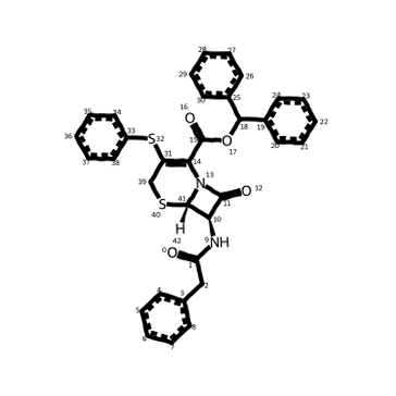 O=C(Cc1ccccc1)N[C@@H]1C(=O)N2C(C(=O)OC(c3ccccc3)c3ccccc3)=C(Sc3ccccc3)CS[C@@H]12